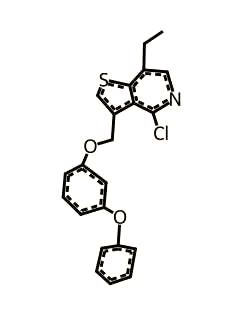 CCc1cnc(Cl)c2c(COc3cccc(Oc4ccccc4)c3)csc12